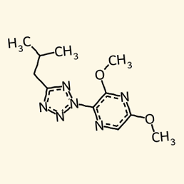 COc1cnc(-n2nnc(CC(C)C)n2)c(OC)n1